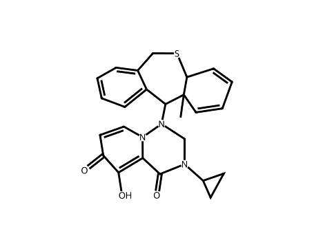 CC12C=CC=CC1SCc1ccccc1C2N1CN(C2CC2)C(=O)c2c(O)c(=O)ccn21